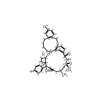 CO[C@]1(c2ccc(F)nc2)/C=C/C[C@H](C)[C@@H](C)S(=O)(=O)NC(=O)c2ccc3c(c2)N(CCCCc2cc(Cl)ccc2CO3)C[C@@H]2CC[C@H]21